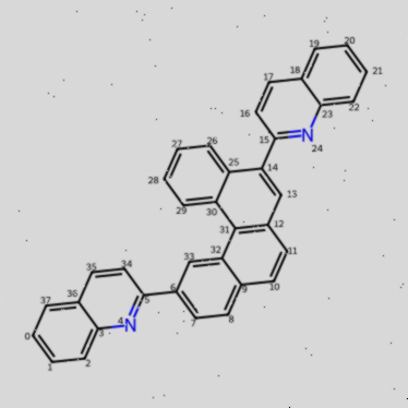 c1ccc2nc(-c3ccc4ccc5cc(-c6ccc7ccccc7n6)c6ccccc6c5c4c3)ccc2c1